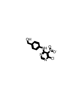 O=[N+]([O-])c1c(Cl)ncnc1Nc1ccc(CO)cc1